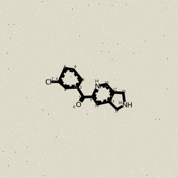 O=C(c1cccc(Cl)c1)c1cc2c(cn1)CNC2